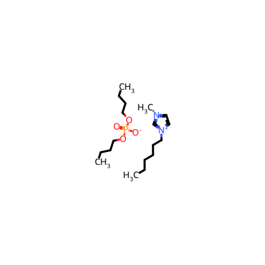 CCCCCC[n+]1ccn(C)c1.CCCCOP(=O)([O-])OCCCC